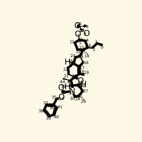 CCC[C@@H]1C[C@@H](OS(C)(=O)=O)CC[C@]1(C)[C@H]1CC2=C(C)[C@]3(CC[C@H]2C1)O[C@@H]1C[C@H](C)CN(C(=O)OCc2ccccc2)[C@H]1[C@H]3C